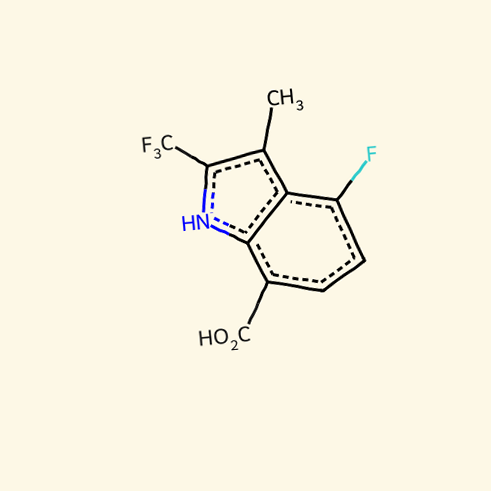 Cc1c(C(F)(F)F)[nH]c2c(C(=O)O)ccc(F)c12